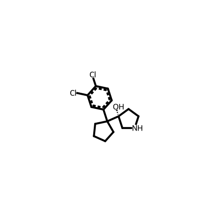 O[C@]1(C2(c3ccc(Cl)c(Cl)c3)CCCC2)CCNC1